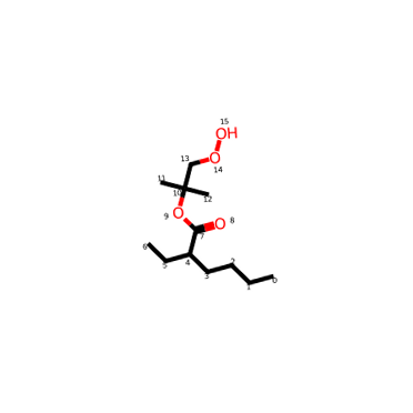 CCCCC(CC)C(=O)OC(C)(C)COO